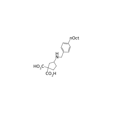 CCCCCCCCc1ccc(CNC2CCC(C(=O)O)(C(=O)O)C2)cc1